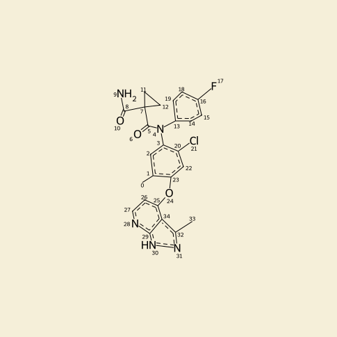 Cc1cc(N(C(=O)C2(C(N)=O)CC2)c2ccc(F)cc2)c(Cl)cc1Oc1ccnc2[nH]nc(C)c12